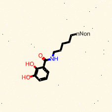 CCCCCCCCCCCCCCNC(=O)c1cccc(O)c1O